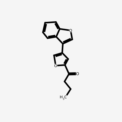 CCCC(=O)c1cc(-c2coc3ccccc23)co1